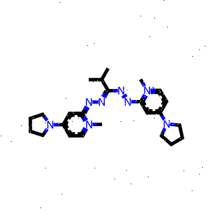 CC(C)C(N=Nc1cc(N2CCCC2)cc[n+]1C)=NN=c1cc(N2CCCC2)ccn1C